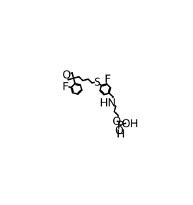 O=[PH](O)OCCCNCc1ccc(SCCCCC2(c3ccccc3F)COC2)c(F)c1